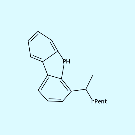 CCCCCC(C)c1cccc2c1[pH]c1ccccc12